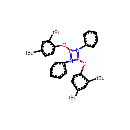 CC(C)(C)c1ccc(OP2N(c3ccccc3)P(Oc3ccc(C(C)(C)C)cc3C(C)(C)C)N2c2ccccc2)c(C(C)(C)C)c1